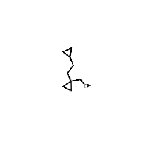 OCC1(CCC2CC2)CC1